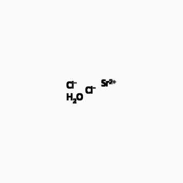 O.[Cl-].[Cl-].[Sr+2]